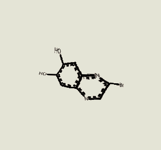 Oc1cc2ncc(Br)nc2cc1O